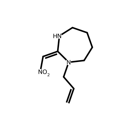 C=CCN1CCCCN/C1=C/[N+](=O)[O-]